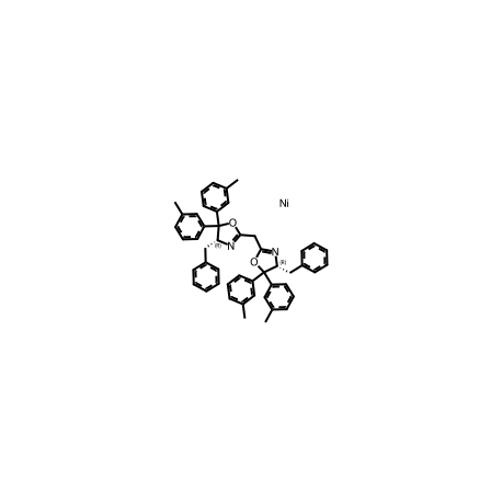 Cc1cccc(C2(c3cccc(C)c3)OC(CC3=N[C@H](Cc4ccccc4)C(c4cccc(C)c4)(c4cccc(C)c4)O3)=N[C@@H]2Cc2ccccc2)c1.[Ni]